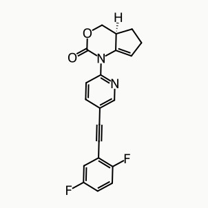 O=C1OC[C@H]2CCC=C2N1c1ccc(C#Cc2cc(F)ccc2F)cn1